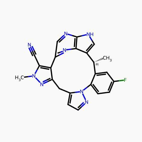 C[C@@H]1c2cc(F)ccc2-n2nccc2Cc2nn(C)c(C#N)c2-c2cnc3[nH]cc1c3n2